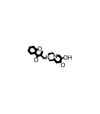 O=c1cc2n(cc1O)CCN(Cc1coc3ccccc3c1=O)C2